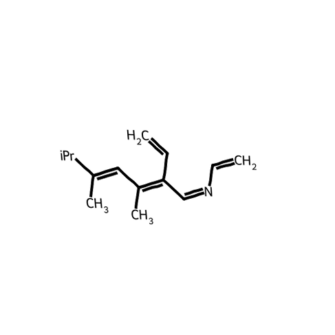 C=C\N=C/C(C=C)=C(C)/C=C(\C)C(C)C